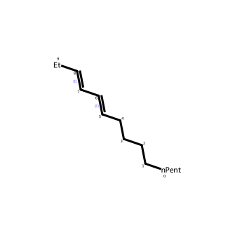 [CH2]CCCCCCCC/C=C/C=C/CC